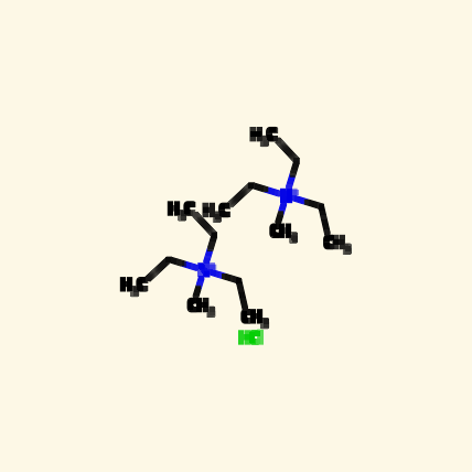 CC[N+](C)(CC)CC.CC[N+](C)(CC)CC.Cl